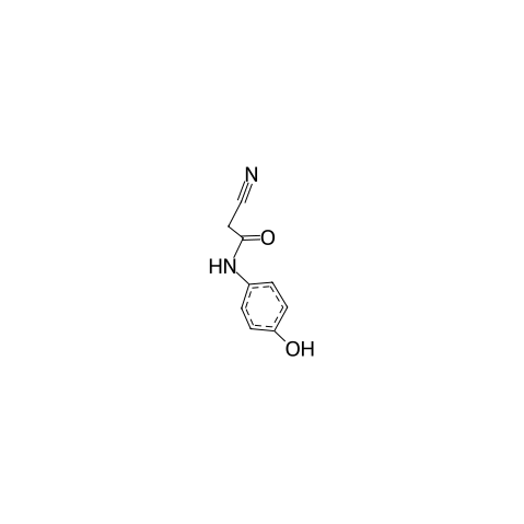 N#CCC(=O)Nc1ccc(O)cc1